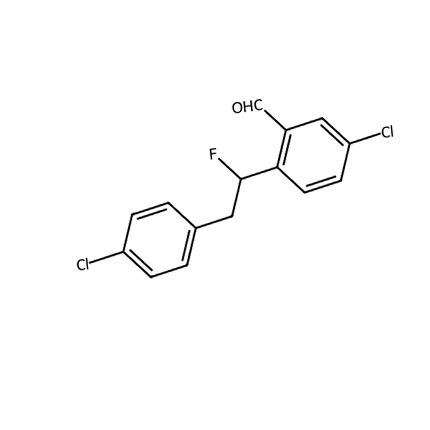 O=Cc1cc(Cl)ccc1C(F)Cc1ccc(Cl)cc1